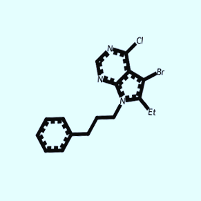 CCc1c(Br)c2c(Cl)ncnc2n1CCCc1ccccc1